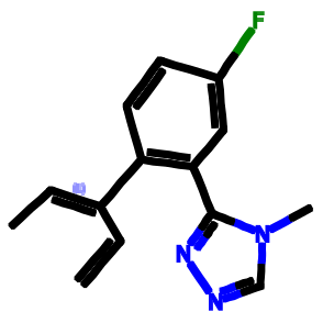 C=C/C(=C\C)c1ccc(F)cc1-c1nncn1C